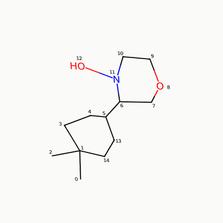 CC1(C)CCC(C2COCCN2O)CC1